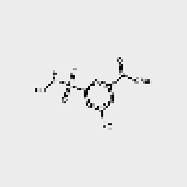 COC(=O)c1cc(N=O)cc(S(=O)(=O)NO)c1